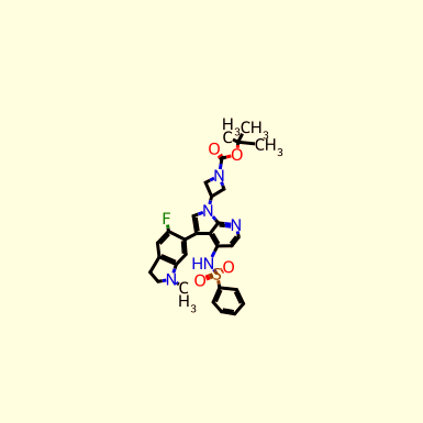 CN1CCc2cc(F)c(-c3cn(C4CN(C(=O)OC(C)(C)C)C4)c4nccc(NS(=O)(=O)c5ccccc5)c34)cc21